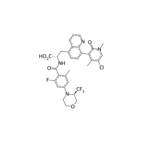 Cc1cc(N2CCOC[C@@H]2C(F)(F)F)cc(F)c1C(=O)N[C@@H](Cc1ccc(-c2c(C)c(Cl)cn(C)c2=O)c2ncccc12)C(=O)O